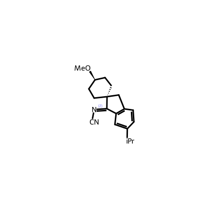 CO[C@H]1CC[C@]2(CC1)Cc1ccc(C(C)C)cc1/C2=N\C#N